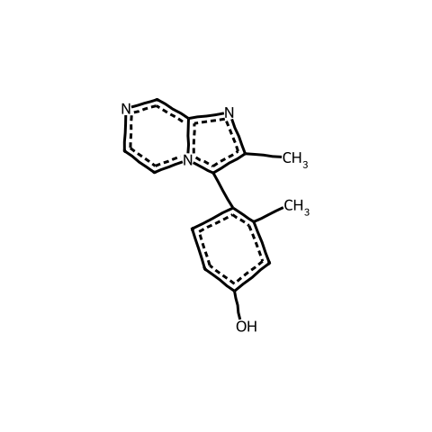 Cc1cc(O)ccc1-c1c(C)nc2cnccn12